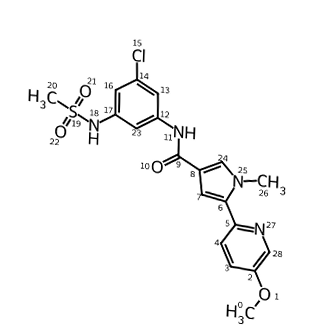 COc1ccc(-c2cc(C(=O)Nc3cc(Cl)cc(NS(C)(=O)=O)c3)cn2C)nc1